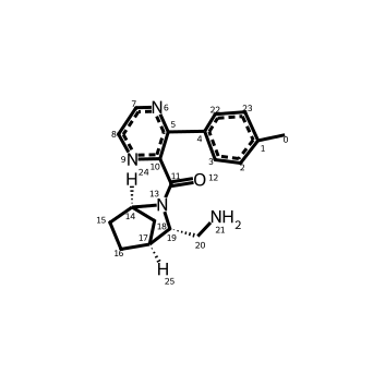 Cc1ccc(-c2nccnc2C(=O)N2[C@@H]3CC[C@@H](C3)[C@H]2CN)cc1